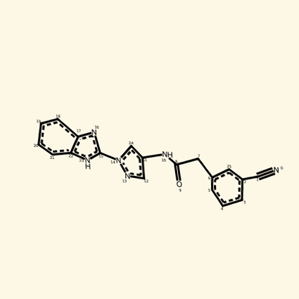 N#Cc1cccc(CC(=O)Nc2cnn(-c3nc4ccccc4[nH]3)c2)c1